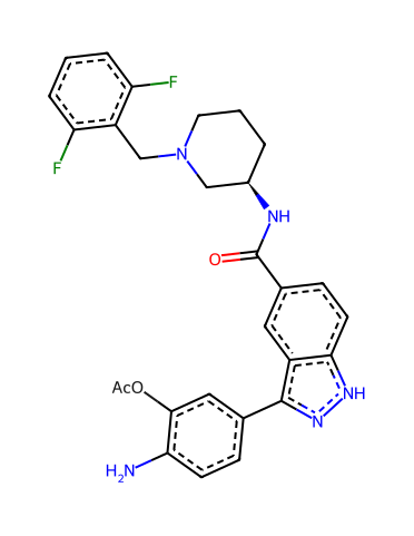 CC(=O)Oc1cc(-c2n[nH]c3ccc(C(=O)N[C@@H]4CCCN(Cc5c(F)cccc5F)C4)cc23)ccc1N